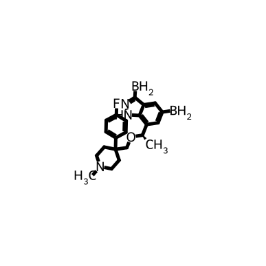 Bc1cc([C@@H](C)OCC2(c3ccc(F)cc3)CCN(C)CC2)c2[nH]nc(B)c2c1